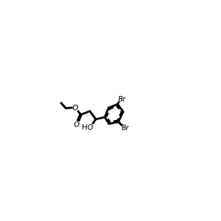 CCOC(=O)CC(O)c1cc(Br)cc(Br)c1